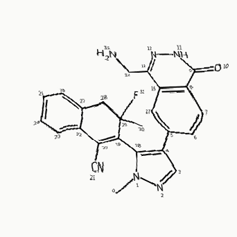 Cn1ncc(-c2ccc3c(=O)[nH]nc(CN)c3c2)c1C1=C(C#N)c2ccccc2CC1(C)F